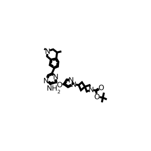 CC1CN(C)Cc2cc(-c3cnc(N)c(Oc4cnn(C5CC6(C5)CN(C(=O)OC(C)(C)C)C6)c4)n3)ccc21